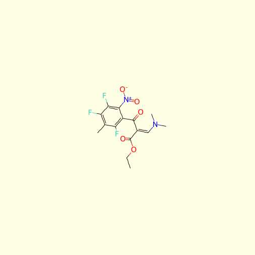 CCOC(=O)/C(=C/N(C)C)C(=O)c1c(F)c(C)c(F)c(F)c1[N+](=O)[O-]